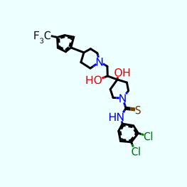 OC(CN1CCC(c2ccc(C(F)(F)F)cc2)CC1)C1(O)CCN(C(=S)Nc2ccc(Cl)c(Cl)c2)CC1